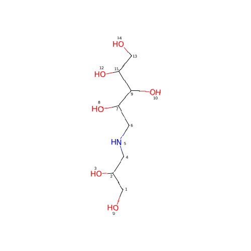 OCC(O)CNCC(O)C(O)C(O)CO